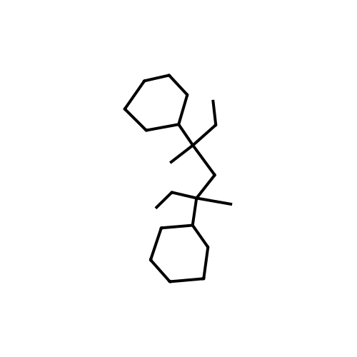 CCC(C)(CC(C)(CC)C1CCCCC1)C1CCCCC1